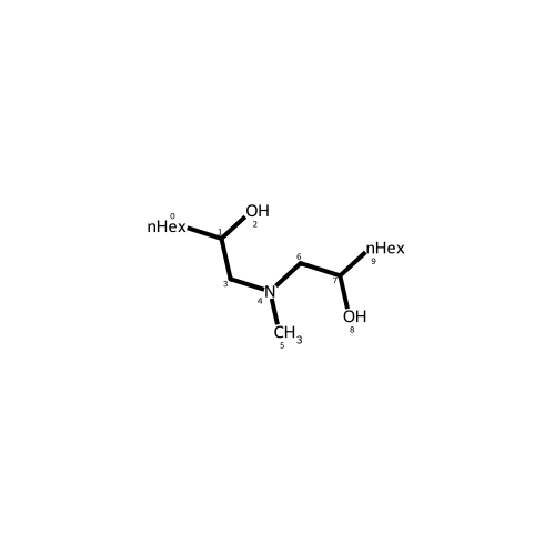 CCCCCCC(O)CN(C)CC(O)CCCCCC